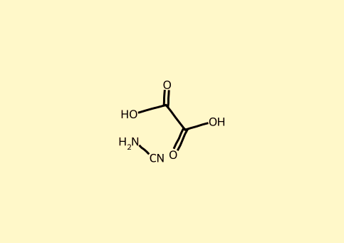 N#CN.O=C(O)C(=O)O